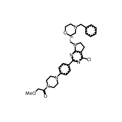 COCC(=O)N1CCN(c2ccc(-c3nc(Cl)c4c(n3)N(C[C@H]3CN(Cc5ccccc5)CCO3)CC4)cc2)CC1